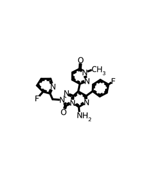 Cn1nc(-c2c(-c3ccc(F)cc3)nc(N)n3c(=O)n(Cc4ncccc4F)nc23)ccc1=O